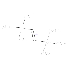 CO[Si](/C=C/[Si](OC)(OC)OC)(OC)OC